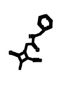 CSC1C(C)C(=O)N1CC(=O)NCc1ccccc1